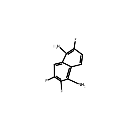 Nc1c(F)ccc2c(N)c(F)c(F)cc12